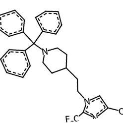 FC(F)(F)c1nc(Cl)cn1CCC1CCN(C(c2ccccc2)(c2ccccc2)c2ccccc2)CC1